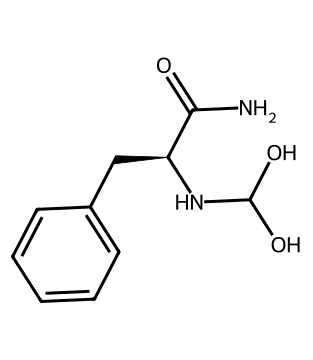 NC(=O)[C@H](Cc1ccccc1)NC(O)O